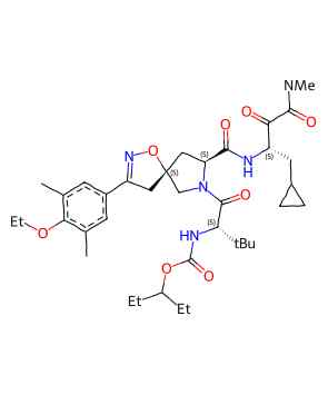 CCOc1c(C)cc(C2=NO[C@]3(C2)C[C@@H](C(=O)N[C@@H](CC2CC2)C(=O)C(=O)NC)N(C(=O)[C@@H](NC(=O)OC(CC)CC)C(C)(C)C)C3)cc1C